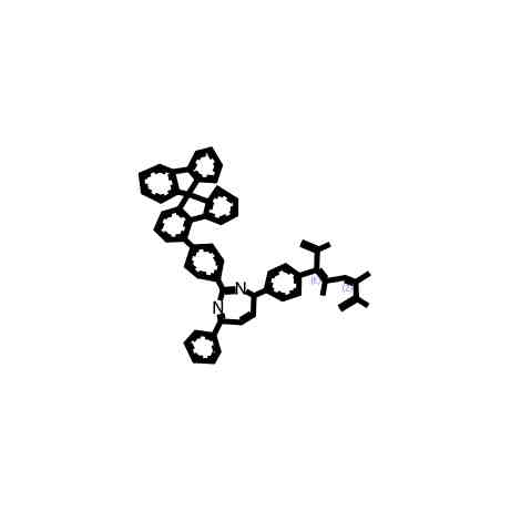 C=C(C)/C(C)=C\C(C)=C(/C(=C)C)c1ccc(C2C=CC(c3ccccc3)=NC(c3ccc(-c4cccc5c4-c4ccccc4C54c5ccccc5-c5ccccc54)cc3)=N2)cc1